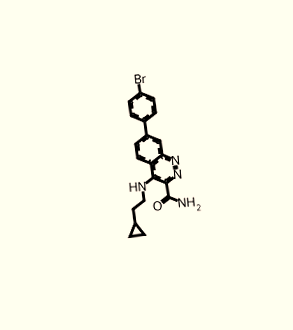 NC(=O)c1nnc2cc(-c3ccc(Br)cc3)ccc2c1NCCC1CC1